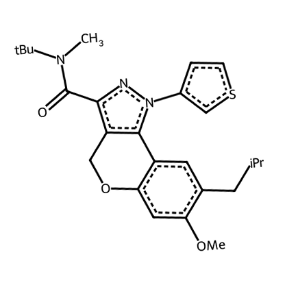 COc1cc2c(cc1CC(C)C)-c1c(c(C(=O)N(C)C(C)(C)C)nn1-c1ccsc1)CO2